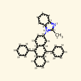 Cc1nc2ccccc2n1-c1ccc2c(-c3ccccc3)c3ccccc3c(-c3ccccc3)c2c1